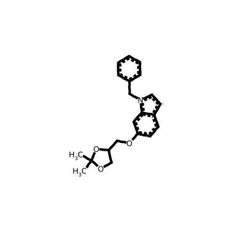 CC1(C)OCC(COc2ccc3[c]cn(Cc4ccccc4)c3c2)O1